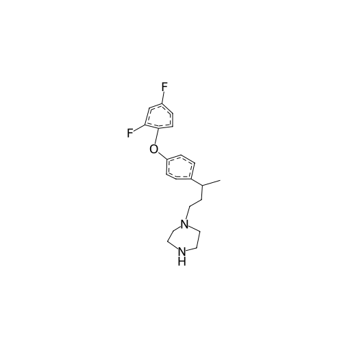 CC(CCN1CCNCC1)c1ccc(Oc2ccc(F)cc2F)cc1